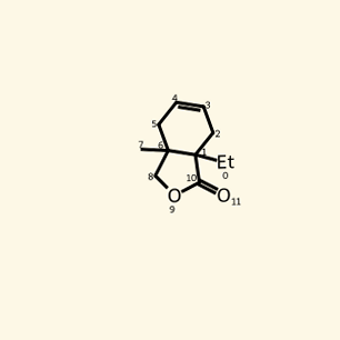 CCC12CC=CCC1(C)COC2=O